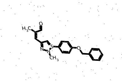 CC(C=O)=CC1=NN(C)S(c2ccc(OCc3ccccc3)cc2)=C1